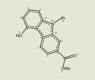 COC(=O)c1ccc2c3c(O)cccc3n(C(C)C)c2c1